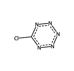 Clc1nnnnn1